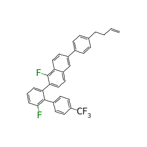 C=CCCc1ccc(-c2ccc3c(F)c(-c4cccc(F)c4-c4ccc(C(F)(F)F)cc4)ccc3c2)cc1